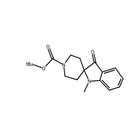 CN1c2ccccc2C(=O)C12CCN(C(=O)OC(C)(C)C)CC2